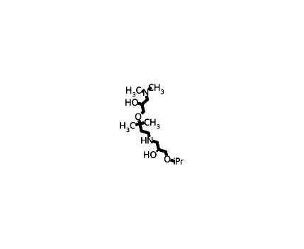 CC(C)OC[C@@H](O)CNCCC(C)(C)OCC(O)CN(C)C